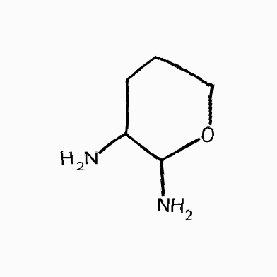 NC1CCCOC1N